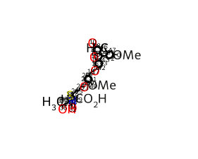 COc1ccc(-c2c3ccc(=O)cc-3oc3cc(OCc4ccc(OC/C=C/C5=C(C(=O)O)N6C(=O)[C@H]([C@@H](C)O)[C@H]6S5)c(OC)c4)ccc23)c(C)c1